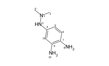 CN(C)Nc1ccc(N)c(N)c1